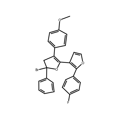 COc1ccc(C2=C(c3ccoc3-c3ccc(F)cc3)OC(Br)(c3ccccc3)C2)cc1